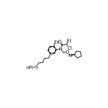 CCCSCCCCc1ccc(CC)c(N(CON=C2CCCC2)C(=O)C(Cl)CC)c1